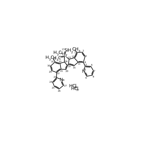 Cc1ccc(-c2ccccn2)c2c1[CH]([Zr]([CH3])([CH3])(=[SiH2])[CH]1C=Cc3c(-c4ccccn4)ccc(C)c31)C=C2.Cl.Cl